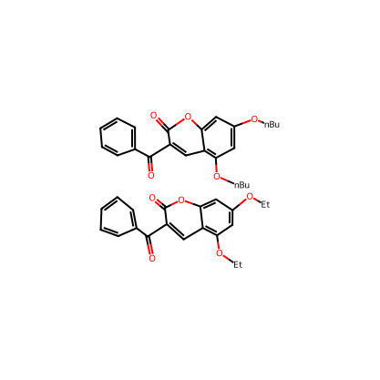 CCCCOc1cc(OCCCC)c2cc(C(=O)c3ccccc3)c(=O)oc2c1.CCOc1cc(OCC)c2cc(C(=O)c3ccccc3)c(=O)oc2c1